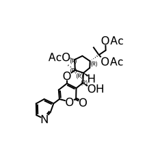 CC(=O)OCC(C)(OC(C)=O)[C@@H]1C[C@@H]2[C@@H](O)c3c(cc(-c4cccnc4)oc3=O)O[C@@]2(C)[C@H](OC(C)=O)C1